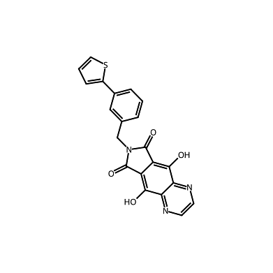 O=C1c2c(c(O)c3nccnc3c2O)C(=O)N1Cc1cccc(-c2cccs2)c1